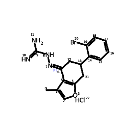 Cc1coc2c1/C(=N/NC(=N)N)CC(c1ccccc1Br)C2.Cl